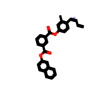 C=C/C=C\c1ccc(OC(=O)c2cccc(C(=O)Oc3ccc4ccccc4c3)c2)cc1C